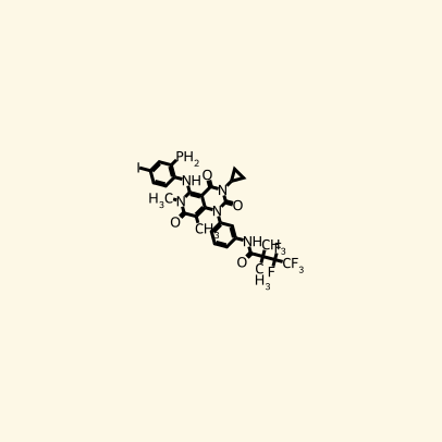 Cc1c(=O)n(C)c(Nc2ccc(I)cc2P)c2c(=O)n(C3CC3)c(=O)n(-c3cccc(NC(=O)C(C)(C)C(F)(F)C(F)(F)F)c3)c12